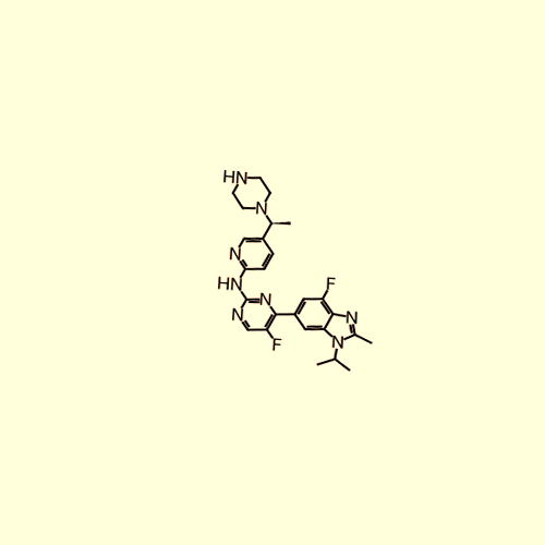 Cc1nc2c(F)cc(-c3nc(Nc4ccc([C@H](C)N5CCNCC5)cn4)ncc3F)cc2n1C(C)C